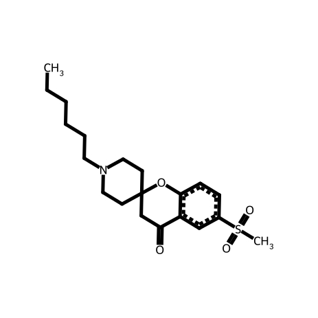 CCCCCCN1CCC2(CC1)CC(=O)c1cc(S(C)(=O)=O)ccc1O2